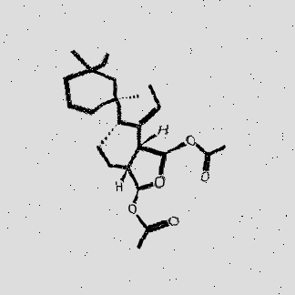 C/C=C1/[C@@H]2[C@@H](OC(C)=O)O[C@@H](OC(C)=O)[C@@H]2CC[C@@H]1[C@@]1(C)CCCC(C)(C)C1